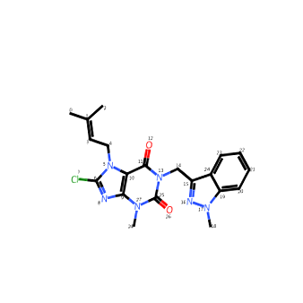 CC(C)=CCn1c(Cl)nc2c1c(=O)n(Cc1nn(C)c3ccccc13)c(=O)n2C